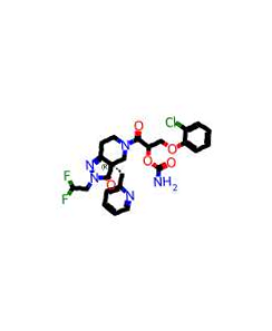 NC(=O)OC(COc1ccccc1Cl)C(=O)N1CCC2=NN(CC(F)F)C(=O)[C@]2(Cc2ccccn2)C1